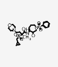 CC(CC(=O)N1CCOCC1)(C(=O)NC1CCCN(S(=O)(=O)c2ccccc2)CC1=O)S(=O)(=O)CC1CC1